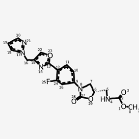 COC(=O)NC[C@H]1CN(c2ccc(-c3nc(Cn4cccn4)co3)c(F)c2)C(=O)O1